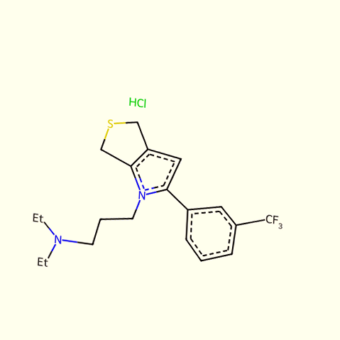 CCN(CC)CCCn1c(-c2cccc(C(F)(F)F)c2)cc2c1CSC2.Cl